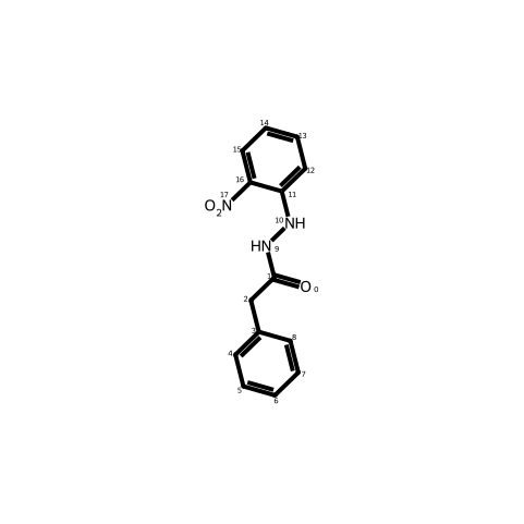 O=C(Cc1ccccc1)NNc1ccccc1[N+](=O)[O-]